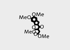 COC(=O)CC(C(=O)OC)C(=O)C1Cc2cc(OC)c(OC)cc2C1